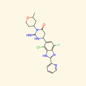 CC1CC(N2C(=N)NC(c3cc(F)c4nc(-c5ccccn5)[nH]c4c3Cl)CC2=O)CCO1